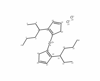 CCCC(CC)C1=[C]([Zr+2][C]2=C(C(CC)CCC)C=CC2)CC=C1.[Cl-].[Cl-]